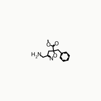 COC(=O)C1(Cc2ccccc2)CC(CN)=NO1